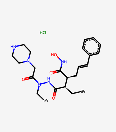 CC(C)C[C@@H](C(=O)NN(CC(C)C)C(=O)CN1CCNCC1)[C@H](CC=Cc1ccccc1)C(=O)NO.Cl